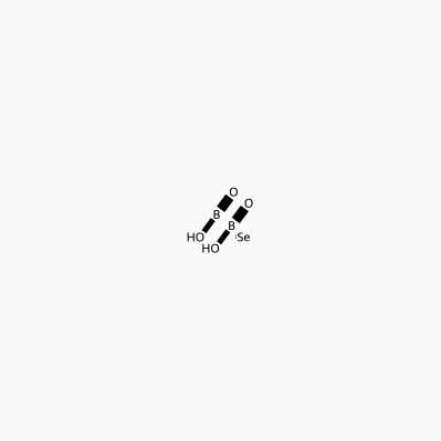 O=BO.O=BO.[Se]